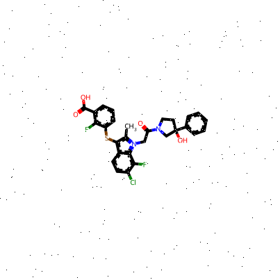 Cc1c(Sc2cccc(C(=O)O)c2F)c2ccc(Cl)c(F)c2n1CC(=O)N1CCC(O)(c2ccccc2)C1